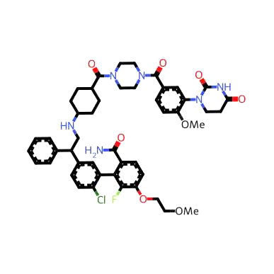 COCCOc1ccc(C(N)=O)c(-c2cc(C(CNC3CCC(C(=O)N4CCN(C(=O)c5ccc(OC)c(N6CCC(=O)NC6=O)c5)CC4)CC3)c3ccccc3)ccc2Cl)c1F